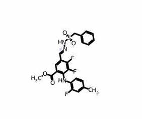 COC(=O)c1cc(/C=N/NS(=O)(=O)Cc2ccccc2)c(F)c(F)c1Nc1ccc(C)cc1F